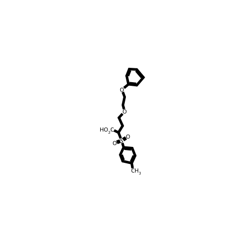 Cc1ccc(S(=O)(=O)C(CCOCCOc2ccccc2)C(=O)O)cc1